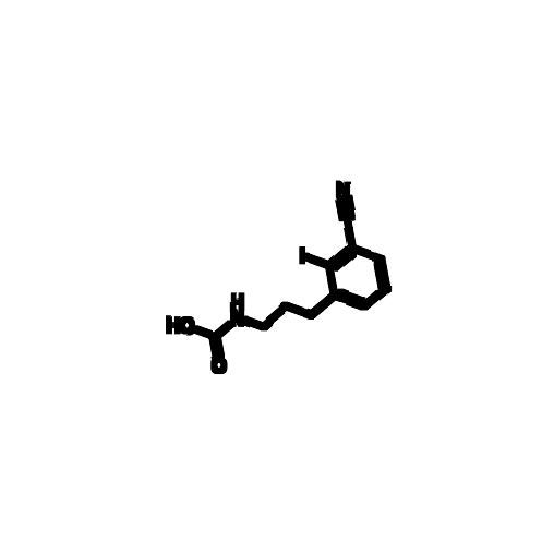 N#Cc1cccc(CCCNC(=O)O)c1I